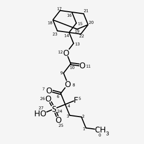 CCCCC(F)(C(=O)OCC(=O)OCC12CC3CC(CC(C3)C1)C2)S(=O)(=O)O